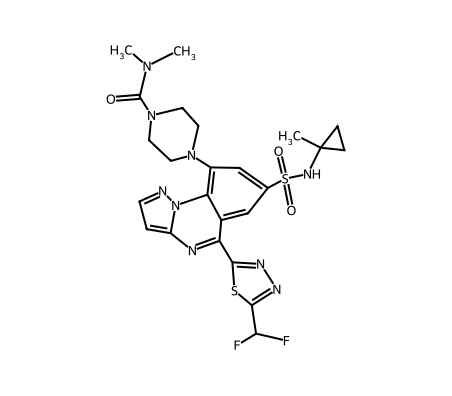 CN(C)C(=O)N1CCN(c2cc(S(=O)(=O)NC3(C)CC3)cc3c(-c4nnc(C(F)F)s4)nc4ccnn4c23)CC1